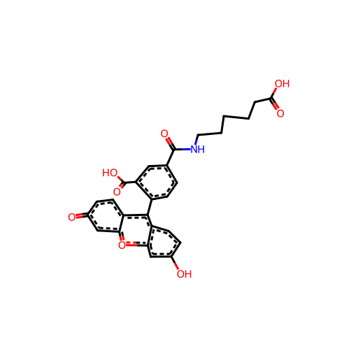 O=C(O)CCCCCNC(=O)c1ccc(-c2c3ccc(=O)cc-3oc3cc(O)ccc23)c(C(=O)O)c1